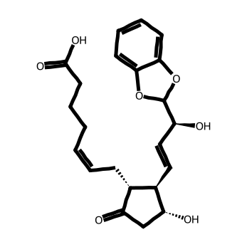 O=C(O)CCC/C=C\C[C@H]1C(=O)C[C@@H](O)[C@@H]1/C=C/[C@H](O)C1Oc2ccccc2O1